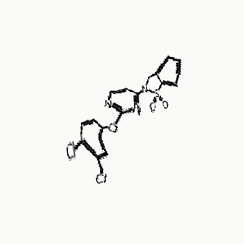 O=S1(=O)c2ccccc2CN1c1ccnc(Oc2ccc(Cl)c(Cl)c2)n1